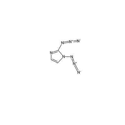 [N-]=[N+]=Nc1nccn1N=[N+]=[N-]